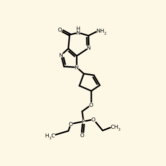 CCOP(=O)(COC1C=CC(n2cnc3c(=O)[nH]c(N)nc32)C1)OCC